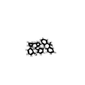 CC1(C)c2ccccc2N(c2ccc3c(c2)[Si]2(c4ccccc4S3)c3ccccc3-c3ccccc32)c2ccccc21